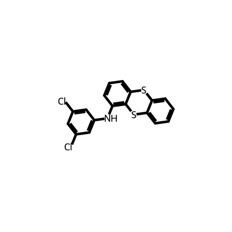 Clc1cc(Cl)cc(Nc2cccc3c2Sc2ccccc2S3)c1